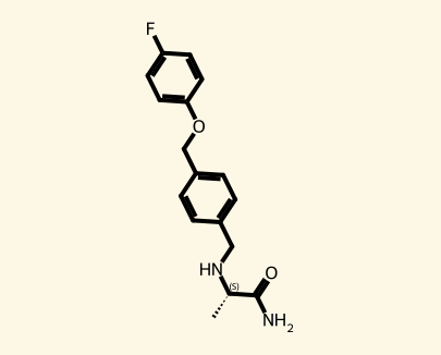 C[C@H](NCc1ccc(COc2ccc(F)cc2)cc1)C(N)=O